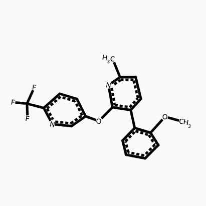 COc1ccccc1-c1ccc(C)nc1Oc1ccc(C(F)(F)F)nc1